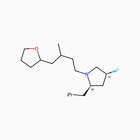 CC(C)C[C@@H]1C[C@H](F)CN1CCC(C)CC1CCCO1